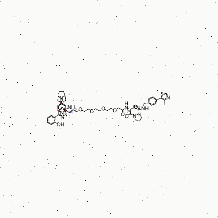 Cc1ncsc1-c1ccc(CNC(=O)[C@@H]2CCCN2C(=O)[C@@H](NC(=O)COCCOCCOCCOC/C=C/c2cc(N3C4CCC3CN(c3cc(-c5ccccc5O)nnc3N)C4)ccn2)C(C)(C)C)cc1